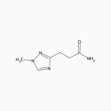 Cn1cnc(CCC(N)=O)n1